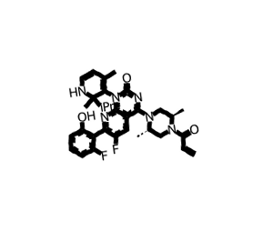 C=CC(=O)N1C[C@H](C)N(c2nc(=O)n(C3=C(C)C=CNC3(C)C(C)C)c3nc(-c4c(O)cccc4F)c(F)cc23)C[C@H]1C